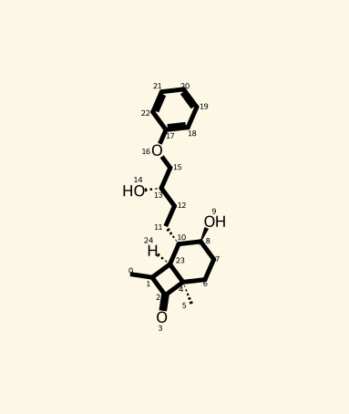 CC1C(=O)[C@]2(C)CC[C@H](O)[C@@H](CC[C@H](O)COc3ccccc3)[C@H]12